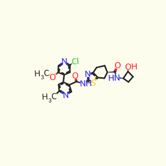 COc1cnc(Cl)cc1-c1cc(C)ncc1C(=O)Nc1nc2c(s1)C[C@H](C(=O)N[C@@H]1CC[C@@H]1O)CC2